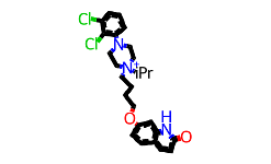 CC(C)[N+]1(CCCCOc2ccc3ccc(=O)[nH]c3c2)CCN(c2cccc(Cl)c2Cl)CC1